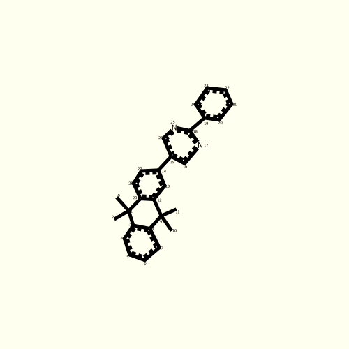 CC1(C)c2ccccc2C(C)(C)c2cc(-c3cnc(-c4ccccc4)nc3)ccc21